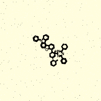 CC1CCC=C[C@H]1C1=CC(C)(C2N=C(c3ccccc3)N=C(C3=CCCCC3)N2)C(C2=CC=CC3c4c(ccc5c4C4=CC=CCC4N5c4ccccc4)OC23)CC1